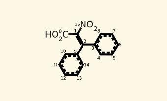 O=C(O)C(=C(c1ccccc1)c1ccccc1)[N+](=O)[O-]